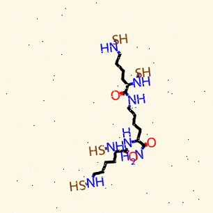 NC(=O)C(CCCCNC(=O)C(CCCCNS)NS)NC(=O)C(CCCCNS)NS